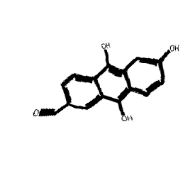 O=Cc1ccc2c(O)c3cc(O)ccc3c(O)c2c1